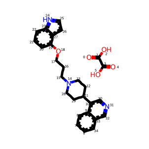 O=C(O)C(=O)O.c1ccc2c(C3CCN(CCCOc4cccc5[nH]ccc45)CC3)cncc2c1